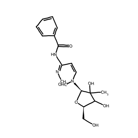 C/N=C(\C=C/N(C=O)[C@@H]1O[C@H](CO)C(O)C1(C)O)NC(=O)c1ccccc1